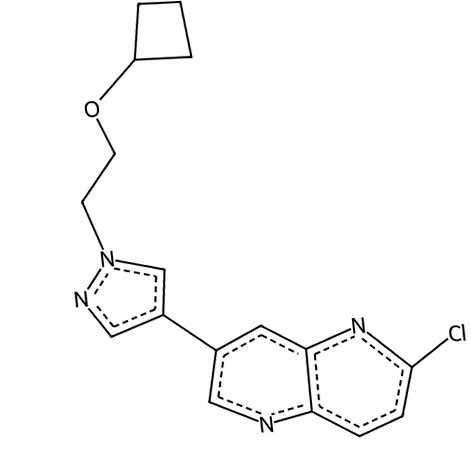 Clc1ccc2ncc(-c3cnn(CCOC4CCC4)c3)cc2n1